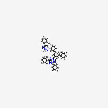 c1ccc(-c2cc(-c3cccc(-c4ncnc5c4Cc4ccccc4-5)c3)cc(-c3nc(-c4ccccc4)nc(-c4ccccc4)n3)c2)cc1